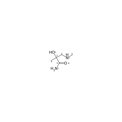 CNCC(C)(O)C(N)=O